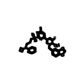 Cc1cc(C2=CN(Cc3ccc4c(c3)OCO4)C(O)C(F)=C2)nc(S(=O)(=O)CCCN(c2ccccc2)C2CCC2)n1